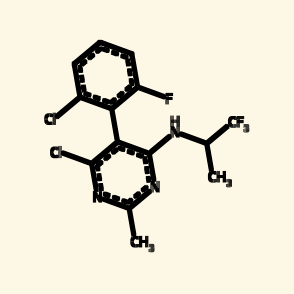 Cc1nc(Cl)c(-c2c(F)cccc2Cl)c(NC(C)C(F)(F)F)n1